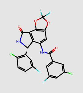 O=C(Nc1cc2c(c3c1[C@H](c1cc(F)ccc1Cl)NC3=O)OC(F)(F)O2)c1cc(F)cc(Cl)c1